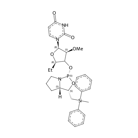 CC[C@H]1O[C@@H](n2ccc(=O)[nH]c2=O)[C@@H](OC)C1O[P@]1O[C@H](C[Si](C)(c2ccccc2)c2ccccc2)[C@@H]2CCCN21